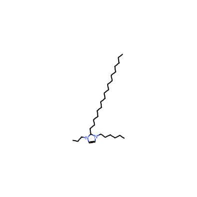 CCCCCCCCCCCCCCCCCCC1N(CCC)C=CN1CCCCCC